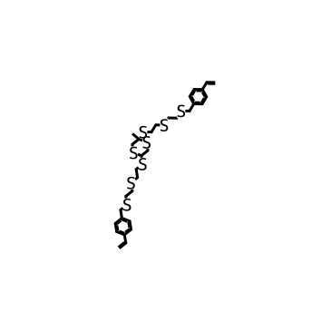 C=Cc1ccc(CSCCSCCSC2CSC(C)(SCCSCCSCc3ccc(C=C)cc3)CS2)cc1